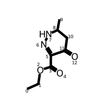 CCOC(=O)C1=NNC(C)CC1=O